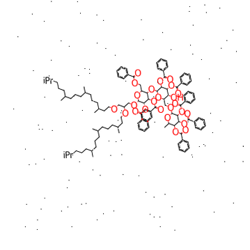 CC(C)CCCC(C)CCCC(C)CCCC(C)CCOCC(CO[C@@H]1OC(COC(=O)c2ccccc2)[C@@H](O[C@@H]2OC(CO[C@@H]3OC(C)[C@H](OC(=O)c4ccccc4)C(OC(=O)c4ccccc4)[C@@H]3OC(=O)c3ccccc3)[C@H](O)C(OC(=O)c3ccccc3)[C@@H]2OC(=O)c2ccccc2)C(OC(=O)c2ccccc2)[C@@H]1OC(=O)c1ccccc1)OCCC(C)CCCC(C)CCCC(C)CCCC(C)C